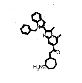 Cc1cc(C(=O)CC2CCCC[C@@H](N)C2)cc2nc(-c3cc4ccccc4n3Cc3ccccc3)c(C)n12